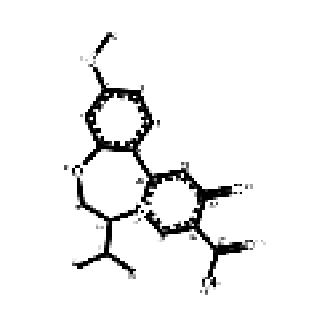 COc1ccc2c(c1)OCC(C(C)C)n1cc(C(=O)O)c(=O)cc1-2